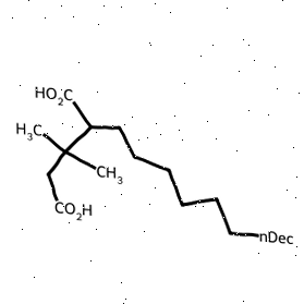 CCCCCCCCCCCCCCCCC(C(=O)O)C(C)(C)CC(=O)O